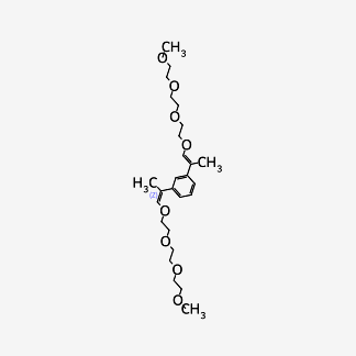 COCCOCCOCCOC=C(C)c1cccc(/C(C)=C\OCCOCCOCCOC)c1